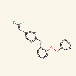 FC(F)=Cc1ccc(Cc2ccccc2OCc2ccccc2)cc1